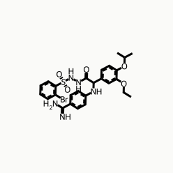 CCOc1cc(C(Nc2ccc(C(=N)N)cc2)C(=O)NNS(=O)(=O)c2ccccc2Br)ccc1OC(C)C